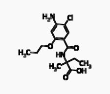 CCCOc1cc(N)c(Cl)cc1C(=O)NC(C)(CC)C(=O)O